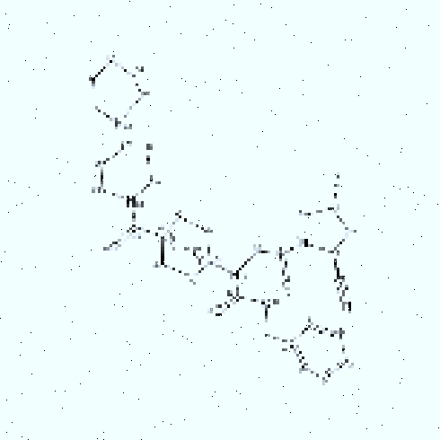 N#C[C@@H]1C[C@H](F)CN1C(=O)CN(C(=O)OCc1ccccc1)C12CCC(C(=O)N3CCC(N4CCCCC4)CC3)(CC1)CC2